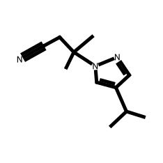 CC(C)c1cnn(C(C)(C)CC#N)c1